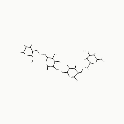 COC1OC(O)C(O)C(O)C1COCC1OC(C)C(COCC2OC(C)C(COCC3OC(CO)C(O)C(O)C3O)C(C)C2C)C(C)C1C